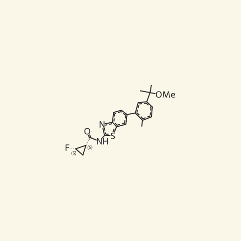 COC(C)(C)c1ccc(C)c(-c2ccc3nc(NC(=O)[C@@H]4C[C@@H]4F)sc3c2)c1